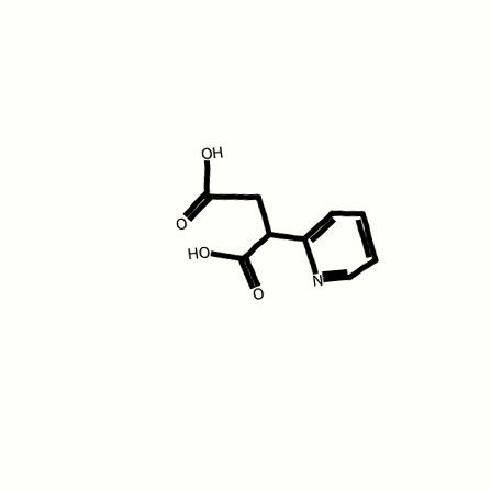 O=C(O)CC(C(=O)O)c1ccccn1